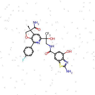 C[C@]1(C(N)=O)COc2c1cc(C(O)(CNC(=O)c1cc(O)c3nc(N)sc3c1)C(F)(F)F)nc2-c1ccc(F)cc1